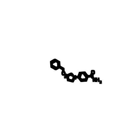 NC(=O)c1ccc(N2CC[C@@H](OCc3ccccc3)C2)cc1